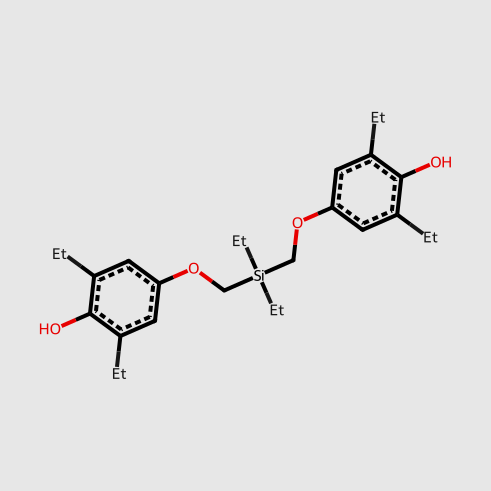 CCc1cc(OC[Si](CC)(CC)COc2cc(CC)c(O)c(CC)c2)cc(CC)c1O